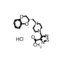 CC(=O)c1nsnc1N1CCN(C[C@H]2COc3ccccc3O2)CC1.Cl